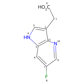 O=C(O)Cc1c[nH]c2cc(F)cnc12